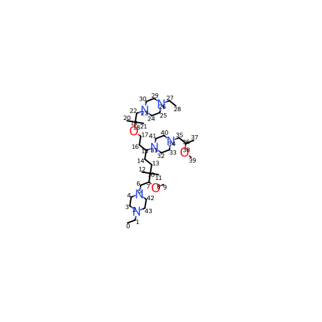 CCN1CCN(CC(OC)C(C)(C)CCC(CCOC(C)(C)CN2CCN(CC)CC2)N2CCN(CC(C)OC)CC2)CC1